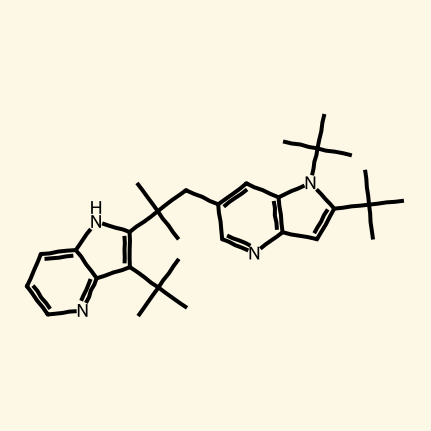 CC(C)(C)c1c(C(C)(C)Cc2cnc3cc(C(C)(C)C)n(C(C)(C)C)c3c2)[nH]c2cccnc12